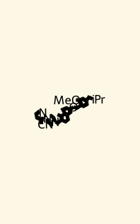 COc1cc(CC(C)C)ccc1COc1ccc2c(c1)CCC(CN1CCN(c3ncccc3C#N)CC1)=C2C